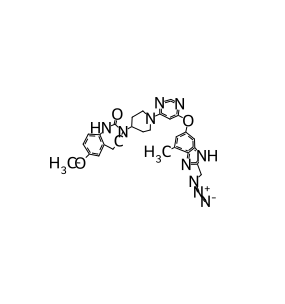 COc1ccc2c(c1)CCN(C1CCN(c3cc(Oc4cc(C)c5nc(CN=[N+]=[N-])[nH]c5c4)ncn3)CC1)C(=O)N2